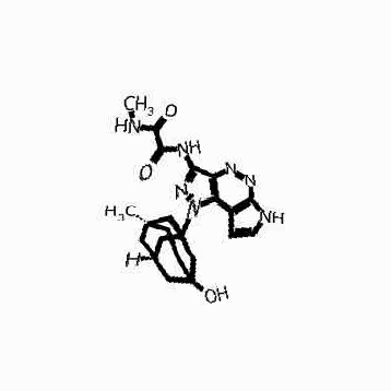 CNC(=O)C(=O)Nc1nn(C23C[C@@H]4CC(O)(C2)C[C@@](C)(C4)C3)c2c1nnc1[nH]ccc12